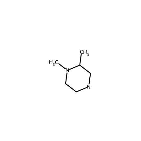 CC1C[N]CCN1C